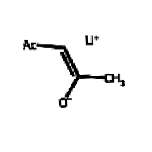 CC(=O)/C=C(/C)[O-].[Li+]